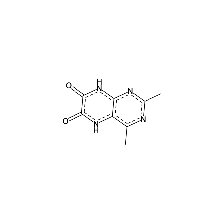 Cc1nc(C)c2[nH]c(=O)c(=O)[nH]c2n1